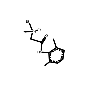 CC[PH](CC)(CC)CC(=O)Nc1c(C)cccc1C